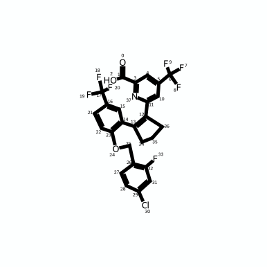 O=C(O)c1cc(C(F)(F)F)cc(C2=C(c3cc(C(F)(F)F)ccc3OCc3ccc(Cl)cc3F)CCC2)n1